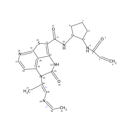 C=CC(=O)NC1CCCC1NC(=O)c1sc2nccc3c2c1NC(=O)N3/C(C)=C/N=C\C